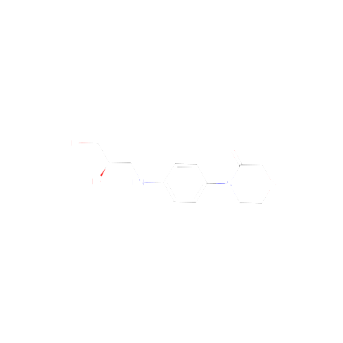 O=C1COCCN1c1ccc(NC[C@@H](O)CO)cc1